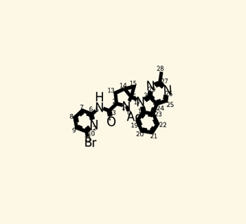 CC(=O)N1C(C(=O)Nc2cccc(Br)n2)CC2CC21n1c2ccccc2c2cnc(C)nc21